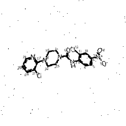 O=C(Nc1ccc([N+](=O)[O-])cc1Cl)N1CCN(c2ncccc2Cl)CC1